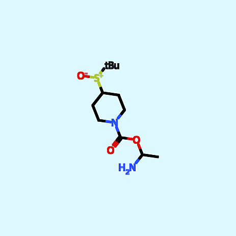 CC(N)OC(=O)N1CCC([S+]([O-])C(C)(C)C)CC1